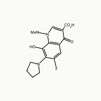 CNn1cc(C(=O)O)c(=O)c2cc(F)c(N3CCCC3)c(O)c21